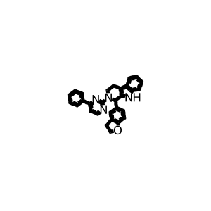 c1ccc(-c2ccnc(N3CCc4c([nH]c5ccccc45)C3c3ccc4c(c3)CCO4)n2)cc1